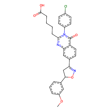 COc1cccc(C2CC(c3ccc4c(=O)n(-c5ccc(Cl)cc5)c(CCCCC(=O)O)nc4c3)=NO2)c1